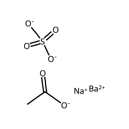 CC(=O)[O-].O=S(=O)([O-])[O-].[Ba+2].[Na+]